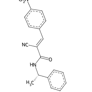 C[C@H](NC(=O)/C(C#N)=C/c1ccc([N+](=O)[O-])cc1)c1ccccc1